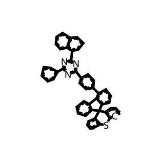 c1ccc(-c2nc(-c3ccc(-c4cccc5c4-c4ccccc4C54c5ccccc5Sc5ccccc54)cc3)nc(-c3cccc4ccccc34)n2)cc1